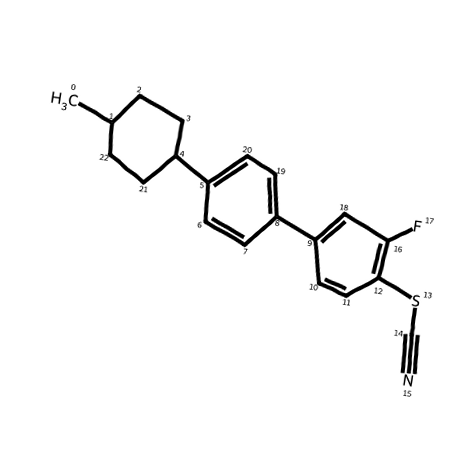 CC1CCC(c2ccc(-c3ccc(SC#N)c(F)c3)cc2)CC1